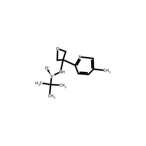 Cc1ccc(C2(N[S@+]([O-])C(C)(C)C)COC2)nc1